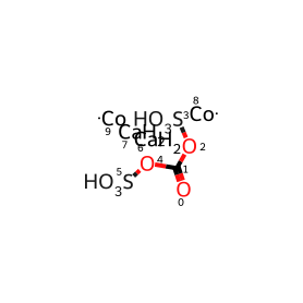 O=C(OS(=O)(=O)O)OS(=O)(=O)O.[CaH2].[CaH2].[Co].[Co]